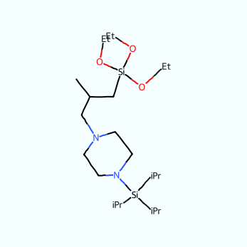 CCO[Si](CC(C)CN1CCN([Si](C(C)C)(C(C)C)C(C)C)CC1)(OCC)OCC